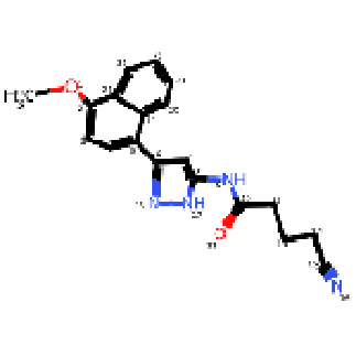 COc1ccc(-c2cc(NC(=O)CCCC#N)[nH]n2)c2ccccc12